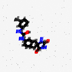 CC(=O)c1cccc(NC(=O)Nc2ccc3c(c2)CC2(C3)NC(=O)NC2=O)c1